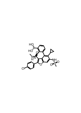 CNC(=O)c1c(-c2ccc(Cl)cc2)oc2cc(NS(C)(=O)=O)c(C3CC3)c(-c3cccc(B(O)O)c3C#N)c12